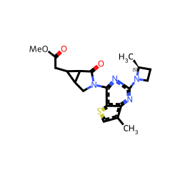 COC(=O)CC1C2CN(c3nc(N4CC[C@@H]4C)nc4c(C)csc34)C(=O)C12